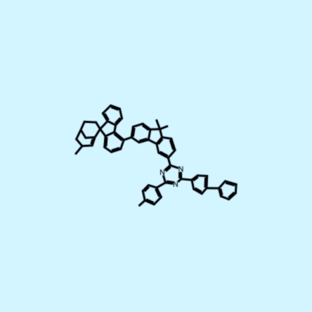 Cc1ccc(-c2nc(-c3ccc(-c4ccccc4)cc3)nc(-c3ccc4c(c3)-c3cc(-c5cccc6c5-c5ccccc5C65CCC6CC5=CC(C)C6)ccc3C4(C)C)n2)cc1